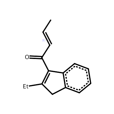 C/C=C/C(=O)C1=C(CC)Cc2ccccc21